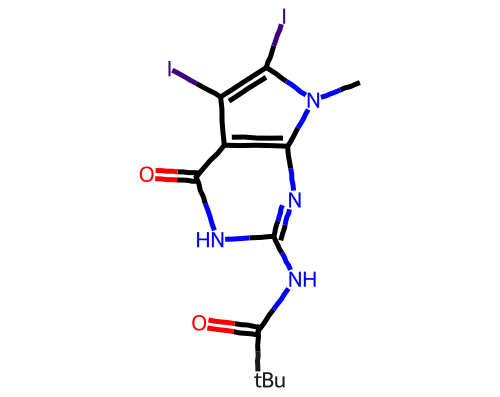 Cn1c(I)c(I)c2c(=O)[nH]c(NC(=O)C(C)(C)C)nc21